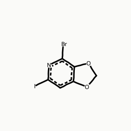 Brc1nc(I)cc2c1OCO2